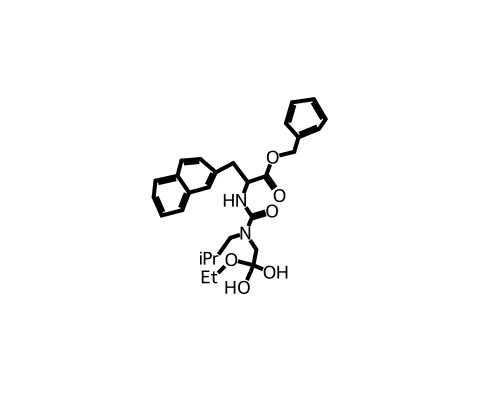 CCOC(O)(O)CN(CC(C)C)C(=O)NC(Cc1ccc2ccccc2c1)C(=O)OCc1ccccc1